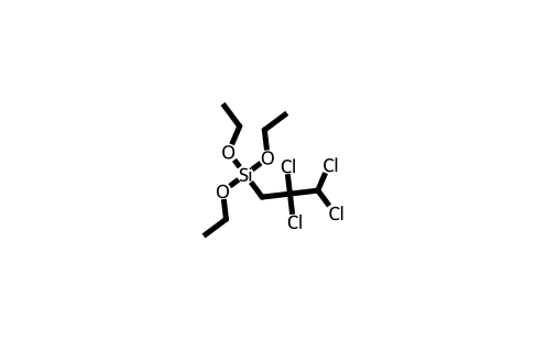 CCO[Si](CC(Cl)(Cl)C(Cl)Cl)(OCC)OCC